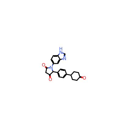 O=C1CCC(c2ccc(C3C(=O)CC(=O)N3c3ccc4[nH]cnc4c3)cc2)CC1